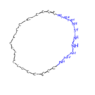 C1CCCCCCCCCNNNNNNNNNNCCCCCCCCC1